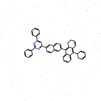 C1=CCC(c2c3c(c(-c4ccc5cc(-c6cc(-c7ccccc7)nc(-c7ccccc7)n6)ccc5c4)c4ccccc24)CCC=C3)C=C1